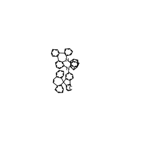 C1=Cc2ccccc2C2(c3ccccc31)c1ccccc1-c1ccc(N(c3ccccc3)c3cccc4c3N(c3ccccc3)c3ccccc3-c3ccccc3-4)cc12